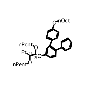 CCCCCCCCOc1ccc(-c2cc(O[C@@H](OCCCCC)[C@H](CC)OCCCCC)ccc2-c2ccccc2)cc1